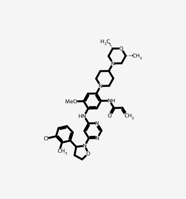 C=CC(=O)Nc1cc(Nc2cc(N3OCCC3c3cccc(Cl)c3C)ncn2)c(OC)cc1N1CCC(N2C[C@@H](C)O[C@@H](C)C2)CC1